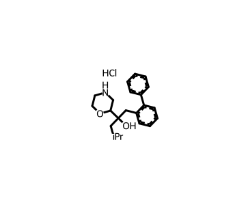 CC(C)CC(O)(Cc1ccccc1-c1ccccc1)C1CNCCO1.Cl